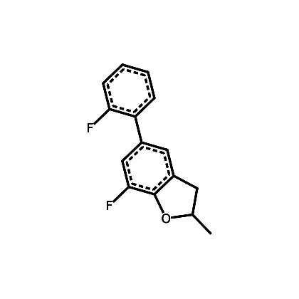 CC1Cc2cc(-c3ccccc3F)cc(F)c2O1